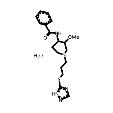 COC1CN(CCCSc2ncn[nH]2)CCC1NC(=O)c1ccccc1.O